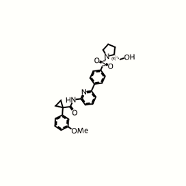 COc1cccc(C2(C(=O)Nc3cccc(-c4ccc(S(=O)(=O)N5CCC[C@@H]5CO)cc4)n3)CC2)c1